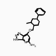 CC1CC(c2ccccc2)CCC1COc1cc(N)nc2[nH]nnc12